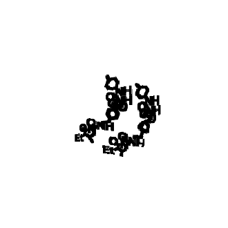 CCC1=C(C)CN(C(=O)NCCc2ccc(S(=O)(=O)NC(=O)NC3CCC(C)CC3)cc2)C1=O.CCC1=C(C)CN(C(=O)NCCc2ccc(S(=O)(=O)NC(=O)NC3CCC(C)CC3)cc2)C1=O